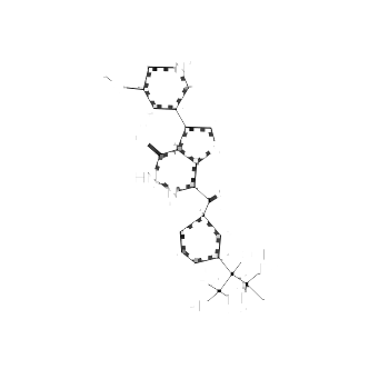 COc1cncc(-c2csc3c(C(=O)c4cccc(C(O)(C(F)(F)F)C(F)(F)F)c4)n[nH]c(=O)c23)c1